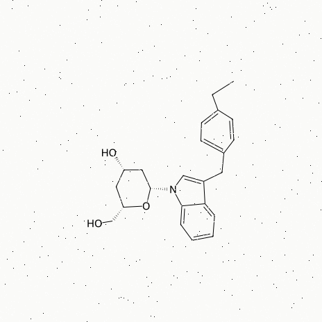 CCc1ccc(Cc2cn([C@H]3C[C@@H](O)C[C@@H](CO)O3)c3ccccc23)cc1